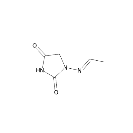 CC=NN1CC(=O)NC1=O